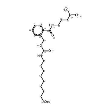 CCCCCCCCCCCCCCCCCCNC(=O)OCc1ccccc1C(=O)NCCCN(C)C